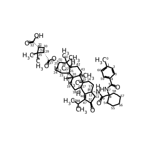 Cc1ccc(C(=O)NC2(C(=O)N[C@@]34CC[C@]5(C)[C@H](CC[C@@H]6[C@@]7(C)CC[C@H](OC(=O)[C@H]8C[C@@H](C(=O)O)C8(C)C)C(C)(C)[C@@H]7CC[C@]65C)C3=C(C(C)C)C(=O)C4)CCCCC2)cc1